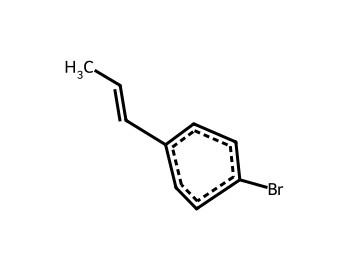 CC=Cc1ccc(Br)cc1